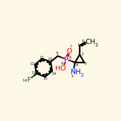 C=CC1CC1(N)P(=O)(O)Cc1ccc(F)cc1